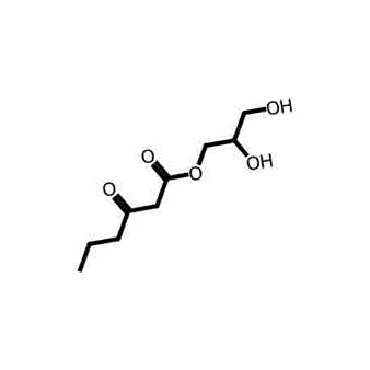 CCCC(=O)CC(=O)OCC(O)CO